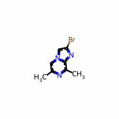 Cc1cn2cc(Br)nc2c(C)n1